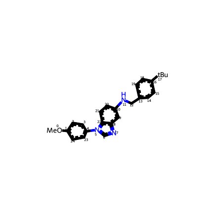 COc1ccc(-n2cnc3cc(NCc4ccc(C(C)(C)C)cc4)ccc32)cc1